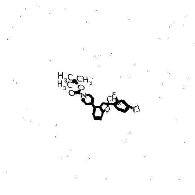 CC(C)(C)OC(=O)N1CC=C(c2cccc3c2C[C@](C)(c2ccc(Cl)cc2F)O3)CC1